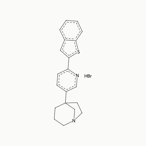 Br.c1ccc2sc(-c3ccc(C45CCCN(CC4)C5)cn3)cc2c1